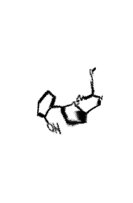 CSc1ncc2ccc(-c3ccccc3O)n2n1